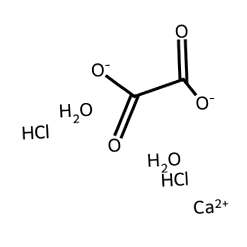 Cl.Cl.O.O.O=C([O-])C(=O)[O-].[Ca+2]